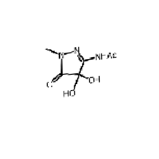 CC(=O)NC1=NN(C)C(=O)C1(O)O